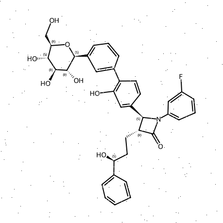 O=C1[C@H](CC[C@H](O)c2ccccc2)[C@@H](c2ccc(-c3cccc([C@@H]4O[C@H](CO)[C@@H](O)[C@H](O)[C@H]4O)c3)c(O)c2)N1c1cccc(F)c1